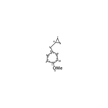 COc1ccc([CH]C2CC2)cc1